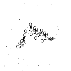 [Al+3].[Ca+2].[O]=[GeH][O-].[O]=[GeH][O-].[O]=[GeH][O-].[O]=[GeH][O-].[O]=[GeH][O-]